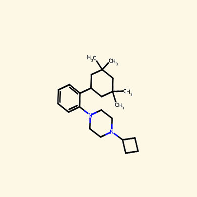 CC1(C)CC(c2ccccc2N2CCN(C3CCC3)CC2)CC(C)(C)C1